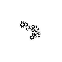 C[C@@H]1CN(c2scnc2-c2nc3ccccc3[nH]2)CCN1C(=O)Cc1ccc2nccnc2c1